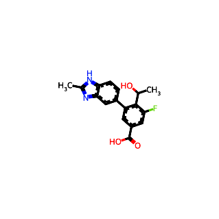 Cc1nc2cc(-c3cc(C(=O)O)cc(F)c3C(C)O)ccc2[nH]1